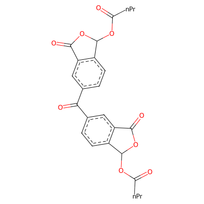 CCCC(=O)OC1OC(=O)c2cc(C(=O)c3ccc4c(c3)C(=O)OC4OC(=O)CCC)ccc21